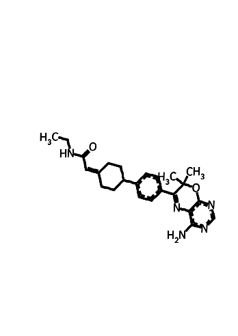 CCNC(=O)C=C1CCC(c2ccc(C3=Nc4c(N)ncnc4OC3(C)C)cc2)CC1